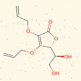 C=CCOC1=C(OCC=C)[C@@H]([C@@H](O)CO)OC1=O